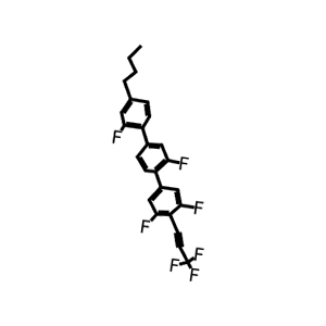 CCCCc1ccc(-c2ccc(-c3cc(F)c(C#CC(F)(F)F)c(F)c3)c(F)c2)c(F)c1